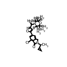 BC1(B)OC(B)(B)C(B)(B)N(C(=O)c2cc(-c3cc(Cl)c4c(c3)CN([C@@H](C)C3CC3)C4=O)on2)C1(B)B